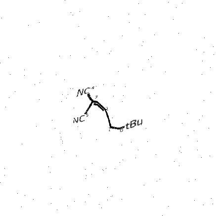 CC(C)(C)CC=C(C#N)C#N